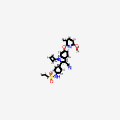 CCCS(=O)(=O)Nc1ccc(-c2c(C#N)c3ccc(Oc4nc(OC)ccc4C)cc3n2C2CCC2)cc1